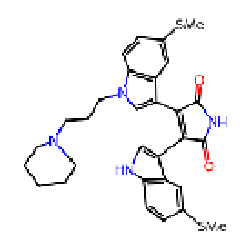 CSc1ccc2[nH]cc(C3=C(c4cn(CCCN5CCCCC5)c5ccc(SC)cc45)C(=O)NC3=O)c2c1